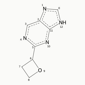 c1nc2cnc(C3CCO3)nc2[nH]1